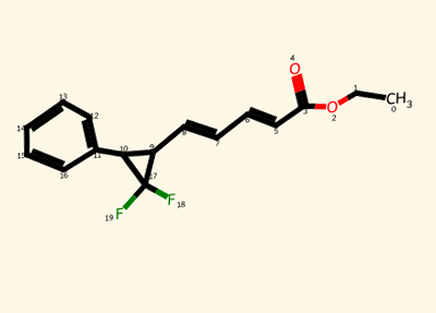 CCOC(=O)C=CC=CC1C(c2ccccc2)C1(F)F